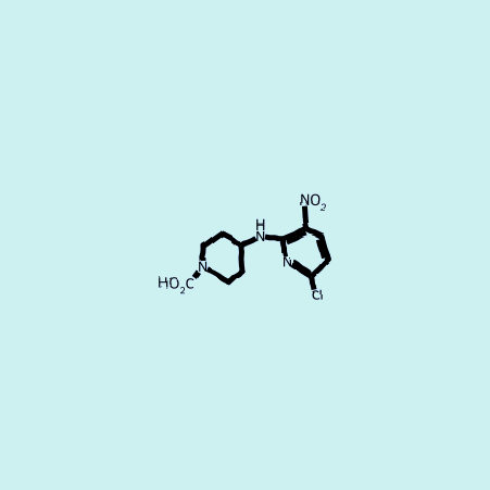 O=C(O)N1CCC(Nc2nc(Cl)ccc2[N+](=O)[O-])CC1